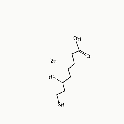 O=C(O)CCCCC(S)CCS.[Zn]